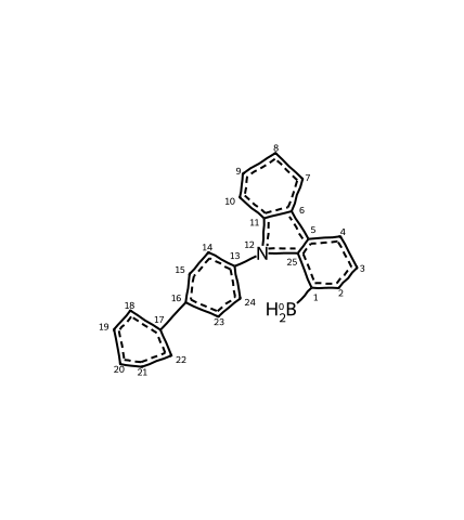 Bc1cccc2c3ccccc3n(-c3ccc(-c4ccccc4)cc3)c12